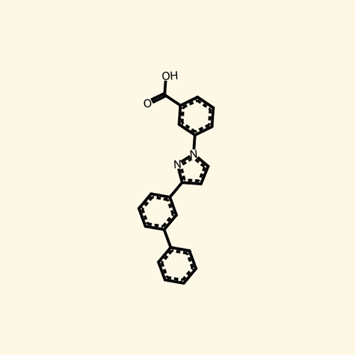 O=C(O)c1cccc(-n2ccc(-c3cccc(-c4ccccc4)c3)n2)c1